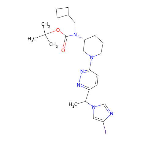 CC(c1ccc(N2CCC[C@@H](N(CC3CCC3)C(=O)OC(C)(C)C)C2)nn1)n1cnc(I)c1